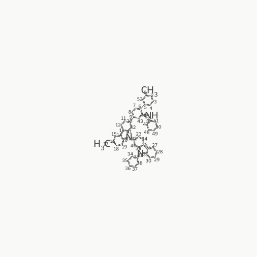 Cc1cccc(-c2ccc(-c3ccc4c5cc(C)ccc5n(-c5ccc6c7ccccc7n(-c7ccccc7)c6c5)c4c3)cc2Nc2ccccc2)c1